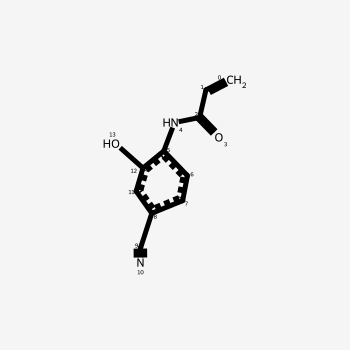 C=CC(=O)Nc1ccc(C#N)cc1O